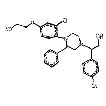 N#Cc1ccc(C(CO)N2CCN(c3ccc(OCCO)cc3Cl)C(c3ccccc3)C2)cc1